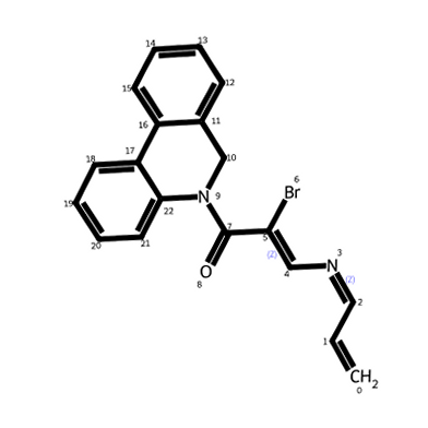 C=C/C=N\C=C(/Br)C(=O)N1Cc2ccccc2-c2ccccc21